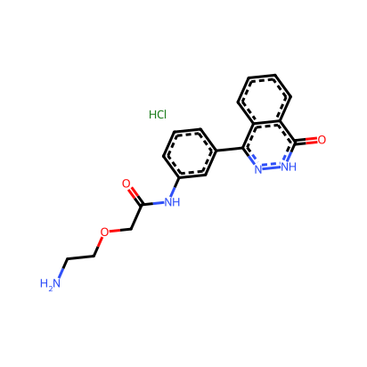 Cl.NCCOCC(=O)Nc1cccc(-c2n[nH]c(=O)c3ccccc23)c1